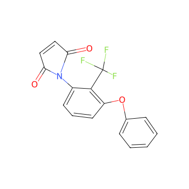 O=C1C=CC(=O)N1c1cccc(Oc2ccccc2)c1C(F)(F)F